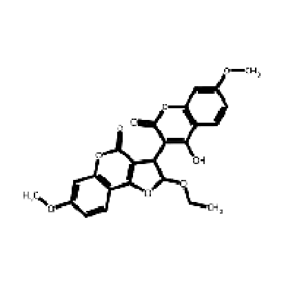 CCOC1Oc2c(c(=O)oc3cc(OC)ccc23)C1c1c(O)c2ccc(OC)cc2oc1=O